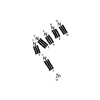 C#N.C#N.C#N.C#N.C#N.C#N.[Zn]